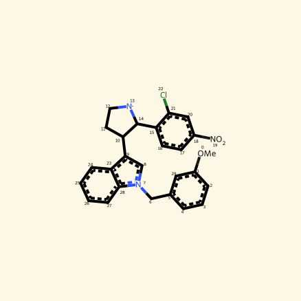 COc1cccc(Cn2cc(C3CC[N]C3c3ccc([N+](=O)[O-])cc3Cl)c3ccccc32)c1